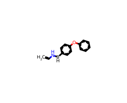 C=CNBc1ccc(Oc2ccccc2)cc1